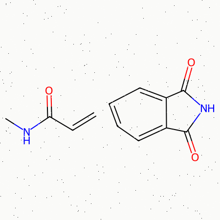 C=CC(=O)NC.O=C1NC(=O)c2ccccc21